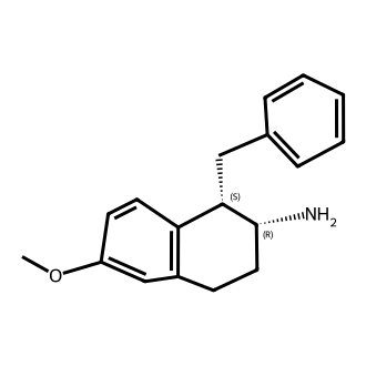 COc1ccc2c(c1)CC[C@@H](N)[C@H]2Cc1ccccc1